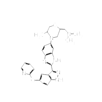 CC1COC(CN(C)C)CN1c1ccc2nc(-c3n[nH]c4ccc(Oc5ccccn5)cc34)[nH]c2c1